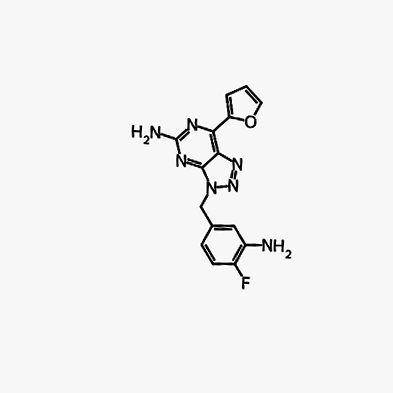 Nc1nc(-c2ccco2)c2nnn(Cc3ccc(F)c(N)c3)c2n1